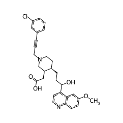 COc1ccc2nccc(C(O)CC[C@@H]3CCN(CC#Cc4cccc(Cl)c4)C[C@@H]3CC(=O)O)c2c1